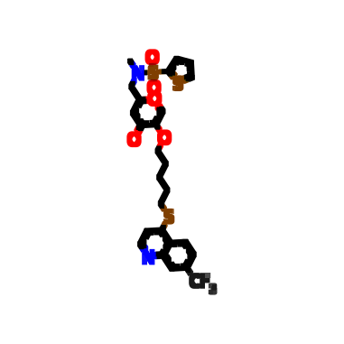 CN(Cc1cc(=O)c(OCCCCCSc2ccnc3cc(C(F)(F)F)ccc23)co1)S(=O)(=O)c1cccs1